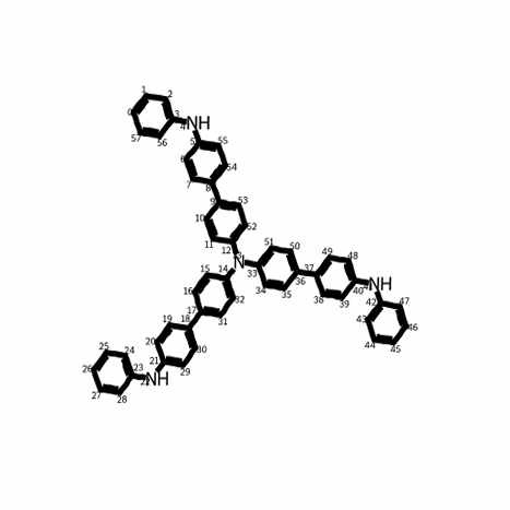 c1ccc(Nc2ccc(-c3ccc(N(c4ccc(-c5ccc(Nc6ccccc6)cc5)cc4)c4ccc(-c5ccc(Nc6ccccc6)cc5)cc4)cc3)cc2)cc1